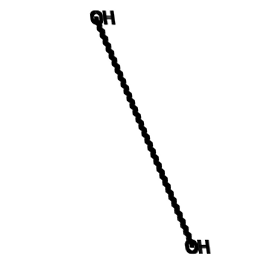 OCCCCCCCCCCCCCCCCCCCCCCCCCCCCCCCCCCCCCCCCCCCCCCCCCCCCCCCCCCCCCCCCO